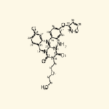 Nn1c(=O)n(CCOCCO)c(=O)n(Cc2ccc(Cl)cc2)/c1=N/c1ccc(Oc2ccon2)cc1